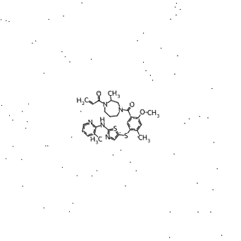 C=CC(=O)N1CCCN(C(=O)c2cc(Sc3cnc(Nc4ncccc4C)s3)c(C)cc2OC)CC1C